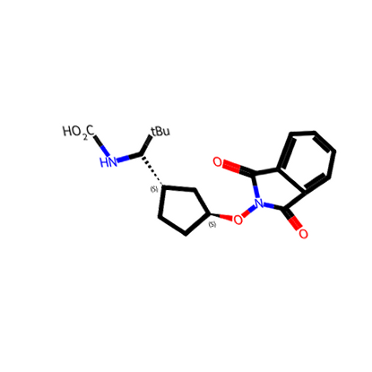 CC(C)(C)C(NC(=O)O)[C@H]1CC[C@H](ON2C(=O)c3ccccc3C2=O)C1